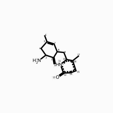 C=C1C(N)CC(C)=CC1Cc1[nH]c(=O)ccc1C